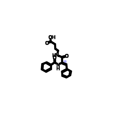 O=C(O)CCCNC(=O)/C(=C/c1ccccc1)NC(=O)c1ccccc1